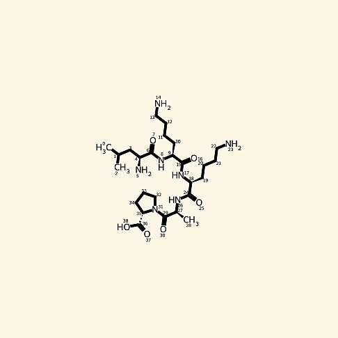 CC(C)C[C@H](N)C(=O)N[C@@H](CCCCN)C(=O)N[C@@H](CCCCN)C(=O)N[C@@H](C)C(=O)N1CCC[C@H]1C(=O)O